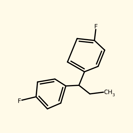 CCC(c1ccc(F)cc1)c1ccc(F)cc1